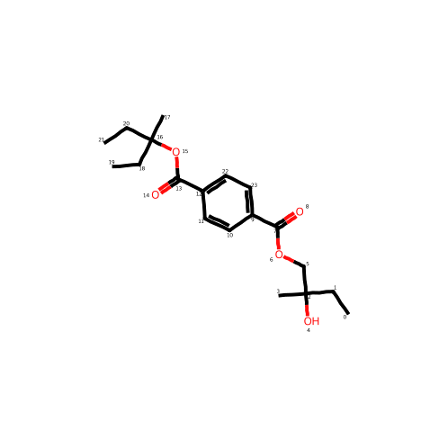 CCC(C)(O)COC(=O)c1ccc(C(=O)OC(C)(CC)CC)cc1